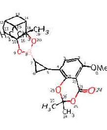 COc1ccc(C2CC2B2OC3CC4CC(C4(C)C)[C@]3(C)O2)c2c1C(=O)OC(C)(C)O2